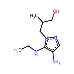 CCNc1c(N)cnn1CC(C)CO